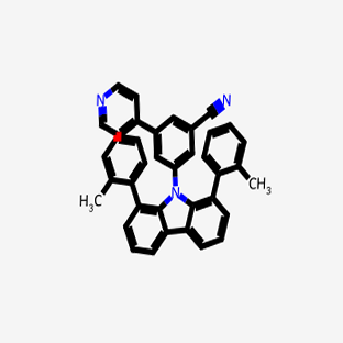 Cc1ccccc1-c1cccc2c3cccc(-c4ccccc4C)c3n(-c3cc(C#N)cc(-c4ccncc4)c3)c12